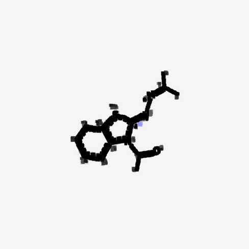 CC(=O)n1/c(=N/N=C(C)C)sc2ccccc21